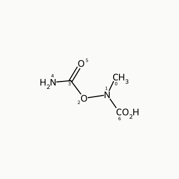 CN(OC(N)=O)C(=O)O